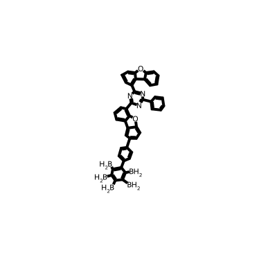 Bc1c(B)c(B)c(-c2ccc(-c3ccc4oc5c(-c6nc(-c7ccccc7)nc(-c7cccc8oc9ccccc9c78)n6)cccc5c4c3)cc2)c(B)c1B